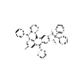 Cc1cc2c3c(c1)N(c1ccccc1)c1cc4c(cc1B3c1ccccc1N2c1ccccc1)N(C)C(c1ccccc1)(c1ccccc1)N4C